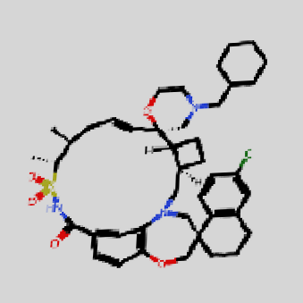 C[C@@H]1[C@@H](C)C/C=C/[C@]2(CN(CC3CCCCC3)CCO2)[C@@H]2CC[C@H]2CN2C[C@@]3(CCCc4cc(Cl)ccc43)COc3ccc(cc32)C(=O)NS1(=O)=O